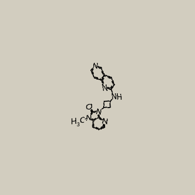 Cn1c(=O)n(C2CC(Nc3ccc4cnccc4n3)C2)c2ncccc21